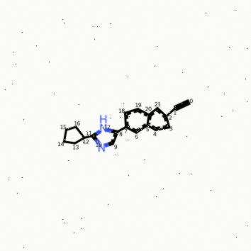 C#Cc1ccc2cc(-c3cnc(C4CCCC4)[nH]3)ccc2c1